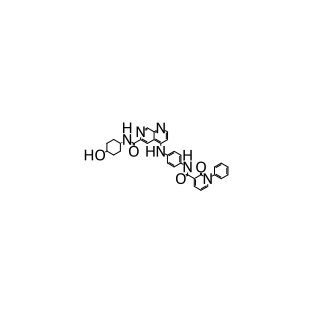 O=C(N[C@H]1CC[C@H](O)CC1)c1cc2c(Nc3ccc(NC(=O)c4cccn(-c5ccccc5)c4=O)cc3)ccnc2cn1